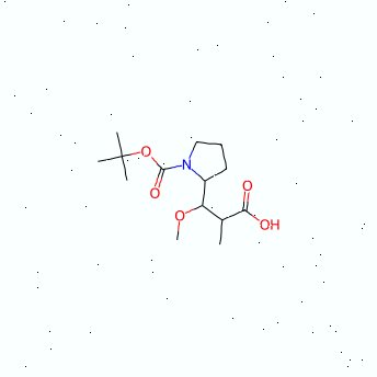 COC(C(C)C(=O)O)C1CCCN1C(=O)OC(C)(C)C